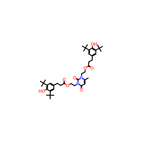 Cc1cc(=O)n(CCOC(=O)CCc2cc(C(C)(C)C)c(O)c(C(C)(C)C)c2)c(=O)n1CCOC(=O)CCc1cc(C(C)(C)C)c(O)c(C(C)(C)C)c1